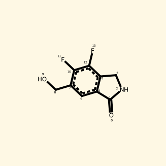 O=C1NCc2c1cc(CO)c(F)c2F